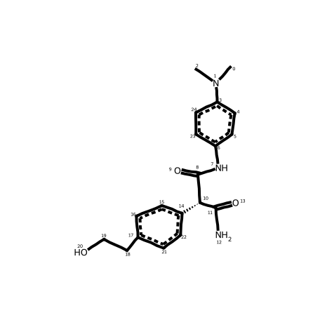 CN(C)c1ccc(NC(=O)[C@H](C(N)=O)c2ccc(CCO)cc2)cc1